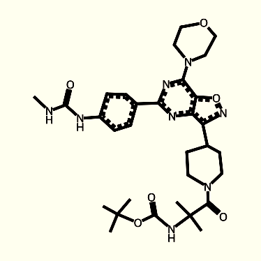 CNC(=O)Nc1ccc(-c2nc(N3CCOCC3)c3onc(C4CCN(C(=O)C(C)(C)NC(=O)OC(C)(C)C)CC4)c3n2)cc1